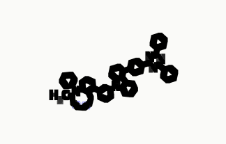 C=C1/C=C\C=C/Cc2c(-c3cccc(-n4c5ccccc5c5c(-c6ccc(-c7nc(-c8ccccc8)nc(-c8ccccc8)n7)cc6)cccc54)c3)cccc2N1c1ccccc1